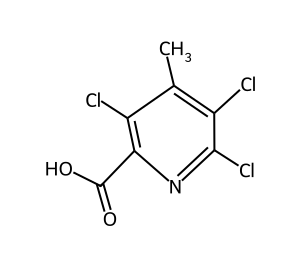 Cc1c(Cl)c(Cl)nc(C(=O)O)c1Cl